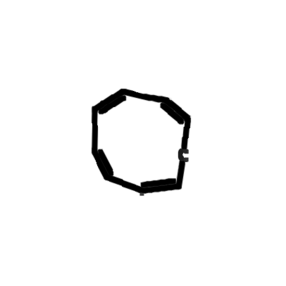 [C]1=CCC=CC=CC=C1